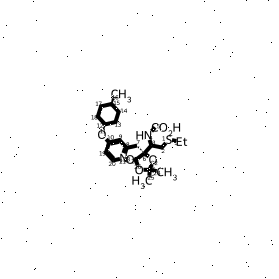 CCSCC(NC(=O)O)[C@@]1(Cc2cc(O[C@H]3CC[C@H](C)CC3)ccn2)OC(C)(C)OC1=O